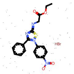 Br.CCOC(=O)CN=c1nc(-c2ccccc2)n(-c2ccc([N+](=O)[O-])cc2)s1